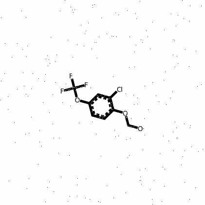 [O]COc1ccc(OC(F)(F)F)cc1Cl